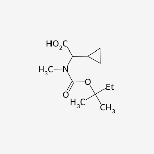 CCC(C)(C)OC(=O)N(C)C(C(=O)O)C1CC1